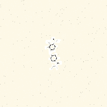 CCN(C)C(=O)c1ccc(Sc2ccc([N+](=O)[O-])c(Cl)c2F)cc1